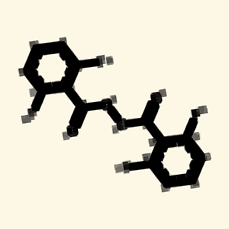 O=C(OOC(=O)c1c(F)cccc1F)c1c(F)cccc1F